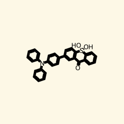 O=C1c2ccccc2S(O)(O)c2ccc(-c3ccc(N(c4ccccc4)c4ccccc4)cc3)cc21